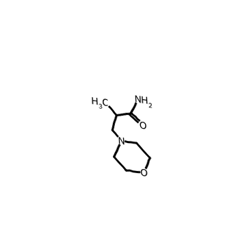 CC(CN1CCOCC1)C(N)=O